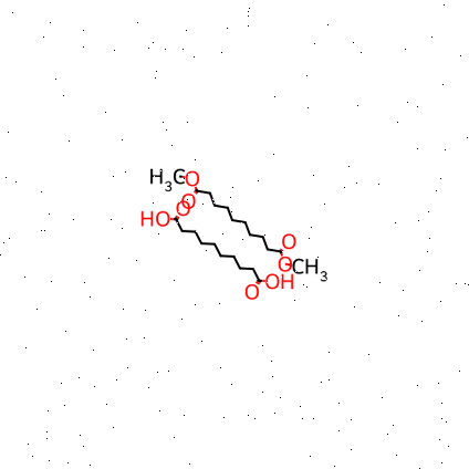 COC(=O)CCCCCCCCC(=O)OC.O=C(O)CCCCCCCCC(=O)O